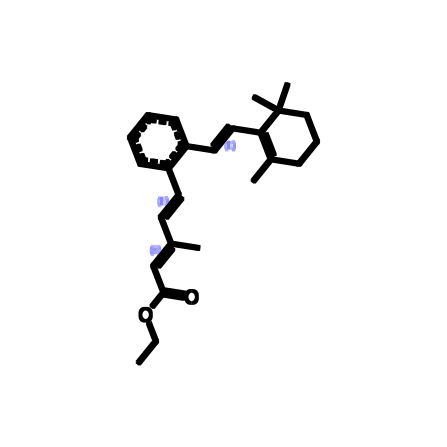 CCOC(=O)/C=C(C)/C=C/c1ccccc1/C=C/C1=C(C)CCCC1(C)C